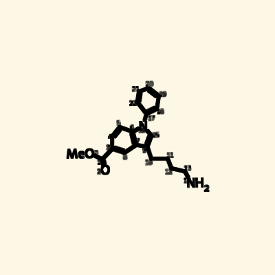 COC(=O)c1ccc2c(c1)c(CCCCN)cn2-c1ccccc1